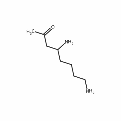 CC(=O)CC(N)CCCCN